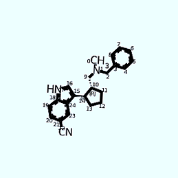 CN(Cc1ccccc1)C[C@@H]1CCC[C@H]1c1c[nH]c2ccc(C#N)cc12